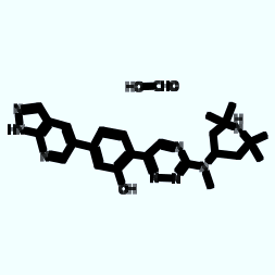 CN(c1ncc(-c2ccc(-c3cnc4[nH]ncc4c3)cc2O)nn1)C1CC(C)(C)NC(C)(C)C1.O=CO